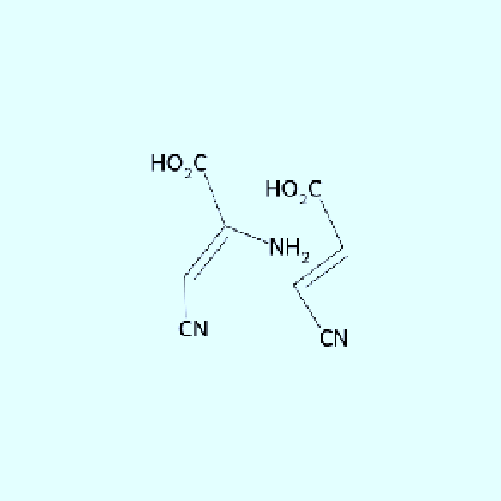 N#CC=C(N)C(=O)O.N#CC=CC(=O)O